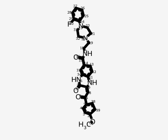 COc1ccc(C(=O)C=C2Nc3ccc(C(=O)NCCN4CCN(c5ccccc5F)CC4)cc3NC2=O)cc1